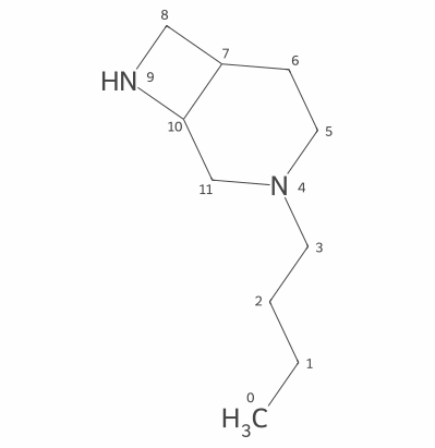 CCCCN1CCC2CNC2C1